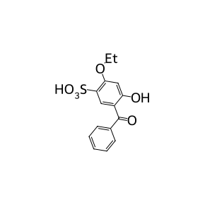 CCOc1cc(O)c(C(=O)c2ccccc2)cc1S(=O)(=O)O